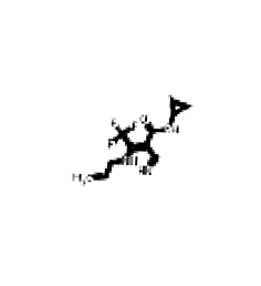 C=CCN/C(=C(\C=N)C(=O)NC1CC1)C(F)(F)F